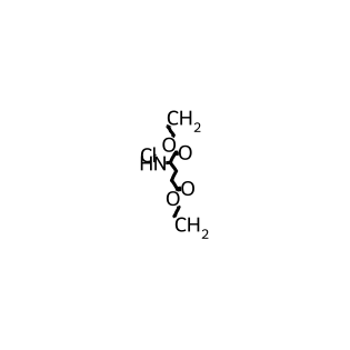 C=CCOC(=O)CCC(NCl)C(=O)OCC=C